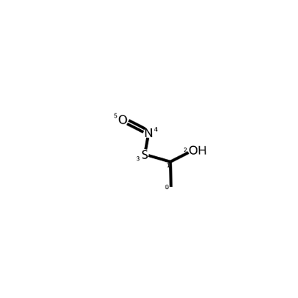 CC(O)SN=O